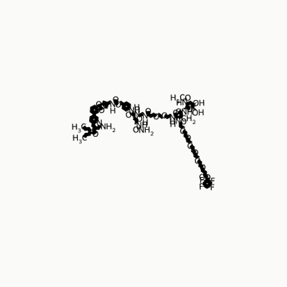 C=C(C(=O)NC[C@@H]1O[C@H](CO)[C@@H](O)C[C@H]1NC(C)=O)C(NC(=O)CCOCCOCCOCCOCCOCCOCCC(=O)Oc1c(F)c(F)cc(F)c1F)C(=O)NCCOCCOCCC(=O)NCC(=O)N[C@@H](CCCNC(N)=O)C(=O)Nc1ccc(COC(=O)NCC2CN(S(=O)(=O)c3cccc(-c4ccc5c(c4)N=C(N)CC(C(=O)N(CCC)CCC)=C5)c3)C2)cc1